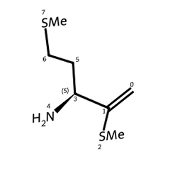 C=C(SC)[C@@H](N)CCSC